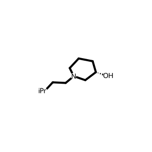 CC(C)CCN1CCC[C@H](O)C1